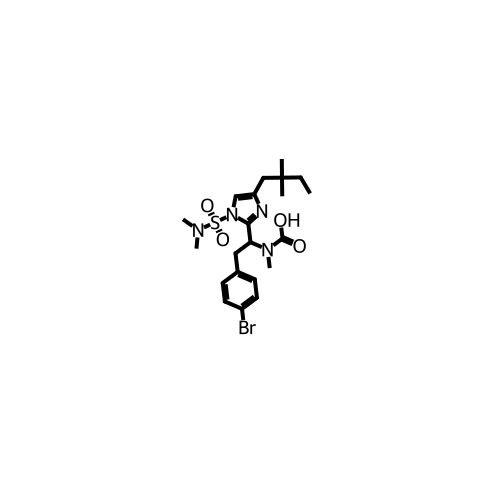 CCC(C)(C)Cc1cn(S(=O)(=O)N(C)C)c(C(Cc2ccc(Br)cc2)N(C)C(=O)O)n1